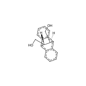 OC[C@H]1c2c3ccccc3c(c3ccccc23)[C@@H]1CO